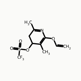 C=COC1=C(C)C(OS(=O)(=O)C(F)(F)F)CC(C)=N1